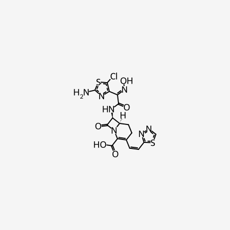 Nc1nc(/C(=N\O)C(=O)N[C@@H]2C(=O)N3C(C(=O)O)=C(/C=C\c4nncs4)CC[C@H]23)c(Cl)s1